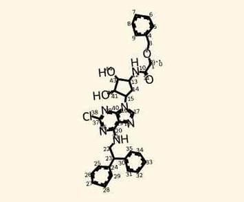 C[C@@H](OCc1ccccc1)C(=O)NC1CC(n2cnc3c(NCC(c4ccccc4)c4ccccc4)nc(Cl)nc32)C(O)C1O